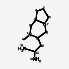 CN1CC2CCCN2CC1CC(N)N